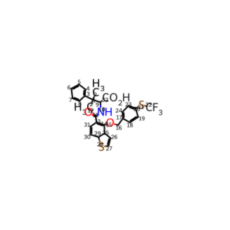 CC(C)(c1ccccc1)C(NC(=O)C1=C(OCc2ccc(SC(F)(F)F)cc2)C2C=CSC2C=C1)C(=O)O